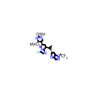 COc1ncc(-c2cc(C3C[C@@H]3c3cnc4cnn(CC(F)(F)F)c4c3)c3ncc(F)n3n2)c(OC)n1